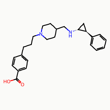 O=C(O)c1ccc(CCCN2CCC(CN[C@@H]3C[C@H]3c3ccccc3)CC2)cc1